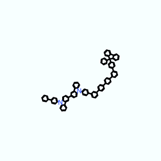 c1ccc(-c2ccc(-n3c4ccccc4c4cc(-c5ccc6c(c5)c5ccccc5n6-c5ccc(-c6cccc(-c7ccc(-c8ccc(-c9cccc(-c%10ccc(C%11(c%12ccccc%12)c%12ccccc%12-c%12ccccc%12%11)cc%10)c9)cc8)cc7)c6)cc5)ccc43)cc2)cc1